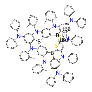 Cc1ccccc1N1c2cc3c(cc2B2c4sc(C(C)(C)C)cc4N(c4ccccc4)c4cc(N(c5ccccc5)c5ccccc5)cc1c42)B1c2cc4c(cc2N(c2ccccc2C)c2cc(N(c5ccccc5)c5ccccc5)cc(c21)N3c1ccccc1C)N(c1ccccc1C)c1cc(N(c2ccccc2)c2ccccc2)cc2c1B4c1sc(C(C)(C)C)cc1N2c1ccccc1